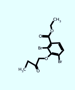 CCOC(=O)c1ccc(Br)c(OCC(=O)CC)c1Br